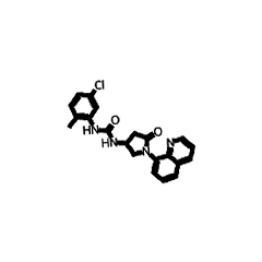 Cc1ccc(Cl)cc1NC(=O)NC1CC(=O)N(c2cccc3cccnc23)C1